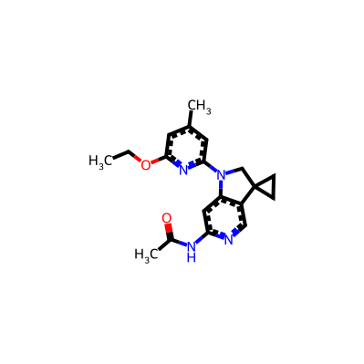 CCOc1cc(C)cc(N2CC3(CC3)c3cnc(NC(C)=O)cc32)n1